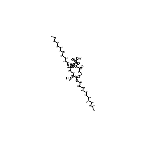 CCC(=O)O.CCCCCCCCCCCCOC(=O)CC[C@H](N)C(=O)OCCCCCCCCCCCC.O=S(=O)(O)O